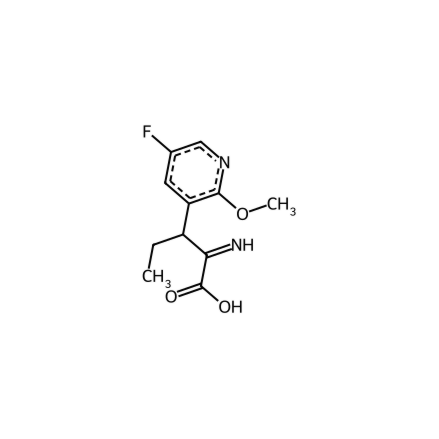 CCC(C(=N)C(=O)O)c1cc(F)cnc1OC